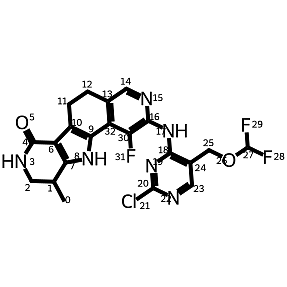 CC1CNC(=O)c2c1[nH]c1c2CCc2cnc(Nc3nc(Cl)ncc3COC(F)F)c(F)c2-1